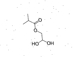 CC(C)C(=O)OCC(O)O